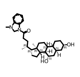 C[C@H](CCC(=O)N1CN(C)c2ccccc21)[C@H]1CC[C@H]2[C@@H]3[C@@H](O)C[C@@H]4C[C@H](O)CC[C@]4(C)[C@H]3CC[C@]12C